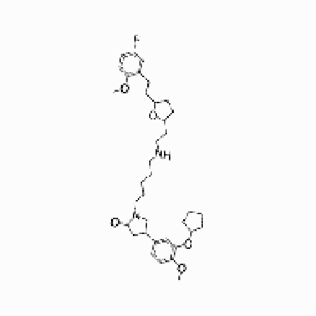 COc1ccc(F)cc1CCC1CCC(CCNCCCCCN2CC(c3ccc(OC)c(OC4CCCC4)c3)CC2=O)O1